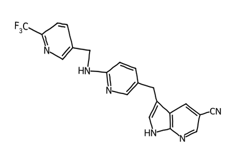 N#Cc1cnc2[nH]cc(Cc3ccc(NCc4ccc(C(F)(F)F)nc4)nc3)c2c1